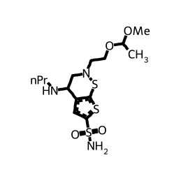 CCCNC1CN(CCOC(C)OC)Sc2sc(S(N)(=O)=O)cc21